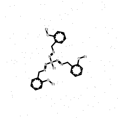 CCOc1ccccc1CN=N[Si](CC)(N=NCc1ccccc1OCC)N=NCc1ccccc1OCC